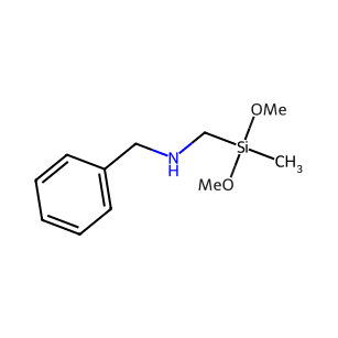 CO[Si](C)(CNCc1ccccc1)OC